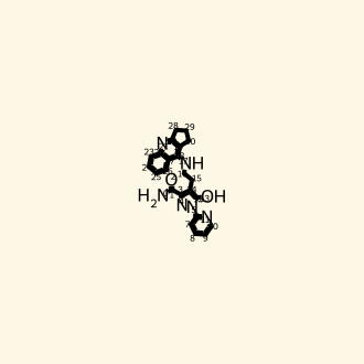 NC(=O)c1nn(-c2ccccn2)c(O)c1CCNc1c2c(nc3ccccc13)CCC2